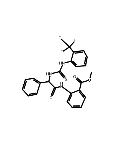 COC(=O)c1ccccc1NC(=O)C(NC(=S)Nc1ccccc1C(F)(F)F)c1ccccc1